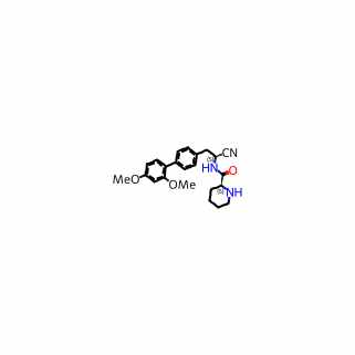 COc1ccc(-c2ccc(C[C@@H](C#N)NC(=O)[C@@H]3CCCCN3)cc2)c(OC)c1